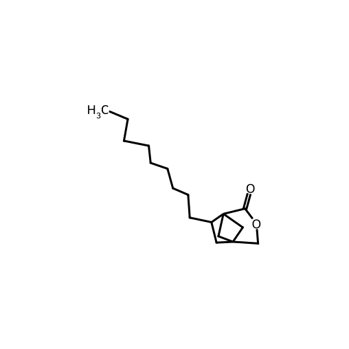 CCCCCCCCCC1CC23COC(=O)C1(C2)C3